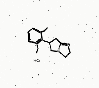 Cc1cccc(C)c1C1CC2=NCCN2C1.Cl